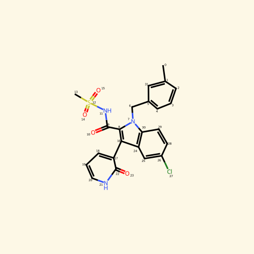 Cc1cccc(Cn2c(C(=O)NS(C)(=O)=O)c(-c3ccc[nH]c3=O)c3cc(Cl)ccc32)c1